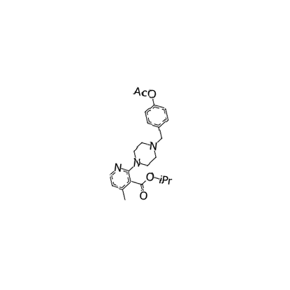 CC(=O)Oc1ccc(CN2CCN(c3nccc(C)c3C(=O)OC(C)C)CC2)cc1